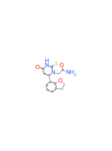 NC(=O)Cn1c(-c2cccc3c2OCC3)cc(=O)[nH]c1=S